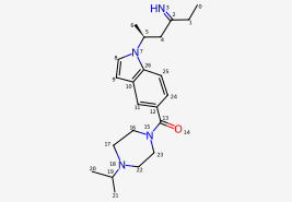 CCC(=N)C[C@H](C)n1ccc2cc(C(=O)N3CCN(C(C)C)CC3)ccc21